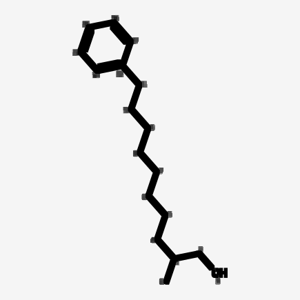 CC(CO)CCCCCCCCc1ccccc1